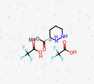 COC(=O)[C@@H]1CCCNN1.O=C(O)C(F)(F)F.O=C(O)C(F)(F)F